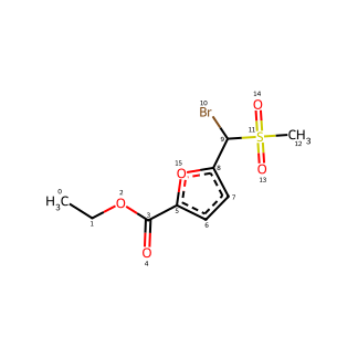 CCOC(=O)c1ccc(C(Br)S(C)(=O)=O)o1